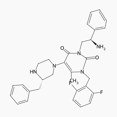 Cc1c(N2CCN[C@@H](Cc3ccccc3)C2)c(=O)n(C[C@H](N)c2ccccc2)c(=O)n1Cc1c(F)cccc1F